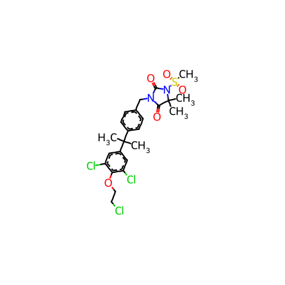 CC(C)(c1ccc(CN2C(=O)N(S(C)(=O)=O)C(C)(C)C2=O)cc1)c1cc(Cl)c(OCCCl)c(Cl)c1